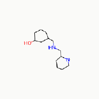 OC1CCCC(CNCC2CCCC[N]2)C1